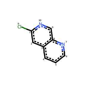 Clc1cc2cccnc2cn1